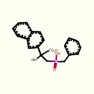 CCCCC(CP(=O)(O)Cc1ccccc1)(C(=O)O)c1ccc2ccccc2c1